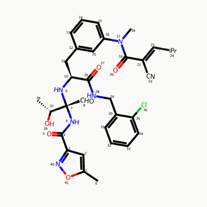 Cc1cc(C(=O)N[C@@](C=O)(N[C@@H](Cc2cccc(N(C)C(=O)C(C#N)=CC(C)C)c2)C(=O)NCc2ccccc2Cl)[C@@H](C)O)no1